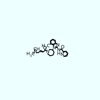 Cc1cccc2nc(NC(=O)c3ccccn3)n(C3CCCCN(C(=O)/C=C/CN(C)C)C3)c12